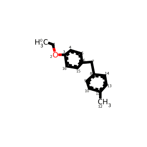 CCOc1ccc(Cc2ccc(C)cc2)cc1